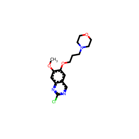 COc1cc2nc(Cl)ncc2cc1OCCCN1CCOCC1